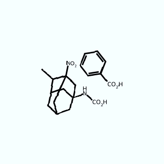 CC1C2CC3CC(NC(=O)O)(C2)CC1([N+](=O)[O-])C3.O=C(O)c1ccccc1